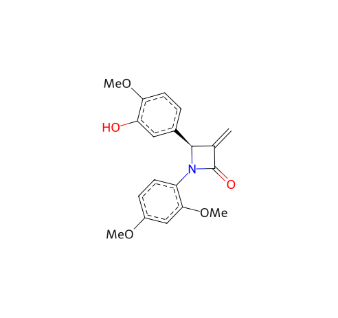 C=C1C(=O)N(c2ccc(OC)cc2OC)[C@H]1c1ccc(OC)c(O)c1